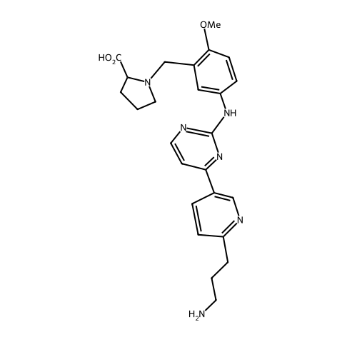 COc1ccc(Nc2nccc(-c3ccc(CCCN)nc3)n2)cc1CN1CCCC1C(=O)O